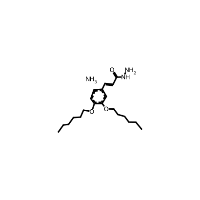 CCCCCCOc1ccc(C=CC(=O)NN)cc1OCCCCCC.N